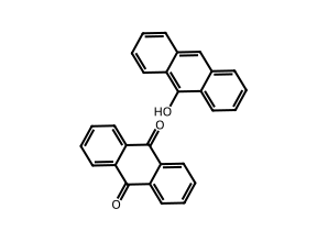 O=C1c2ccccc2C(=O)c2ccccc21.Oc1c2ccccc2cc2ccccc12